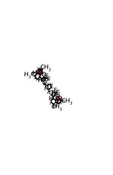 C[C@@H]1CC[C@H]2C(COCc3cccc(COCC4=C(C(F)(F)F)O[C@@H]5O[C@]6(C)CC[C@H]7[C@H](C)CC[C@@H]4[C@@]57OO6)n3)=C(C(F)(F)F)O[C@@H]3O[C@]4(C)CC[C@@H]1[C@]32OO4